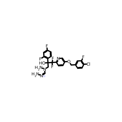 N/N=C\N(N)CC(O)(c1ccc(F)cc1F)C(F)(F)c1ccc(OCc2ccc(Cl)c(F)c2)cn1